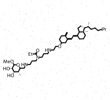 C=C1CCC(OCCNCCCN(CCCNCC2OC(OC)[C@@H](O)[C@@H](O)[C@H]2C)C(=O)CC)C/C1=C/C=C1\CCC[C@@]2(C)C1CC[C@@H]2[C@H](C)CCCC(C)C